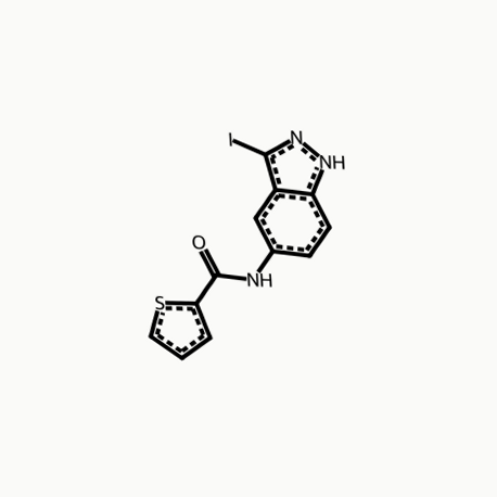 O=C(Nc1ccc2[nH]nc(I)c2c1)c1cccs1